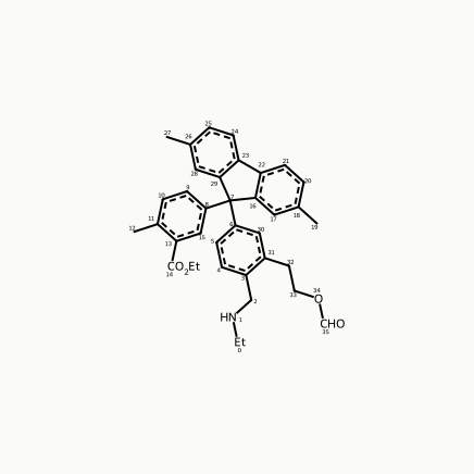 CCNCc1ccc(C2(c3ccc(C)c(C(=O)OCC)c3)c3cc(C)ccc3-c3ccc(C)cc32)cc1CCOC=O